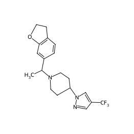 CC(c1ccc2c(c1)OCC2)N1CCC(n2cc(C(F)(F)F)cn2)CC1